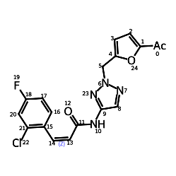 CC(=O)c1ccc(Cn2ncc(NC(=O)/C=C\c3ccc(F)cc3Cl)n2)o1